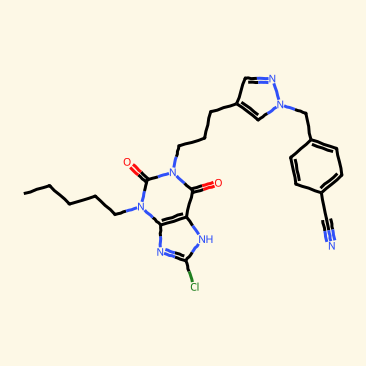 CCCCCn1c(=O)n(CCCc2cnn(Cc3ccc(C#N)cc3)c2)c(=O)c2[nH]c(Cl)nc21